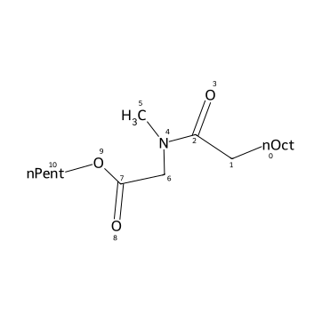 CCCCCCCCCC(=O)N(C)CC(=O)OCCCCC